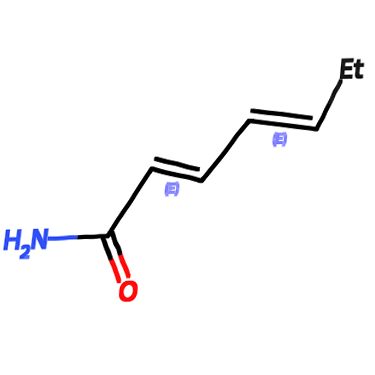 CC/C=C/C=C/C(N)=O